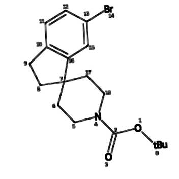 CC(C)(C)OC(=O)N1CCC2(CCc3ccc(Br)cc32)CC1